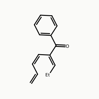 C=C/C=C\C(=C/CC)C(=O)c1ccccc1